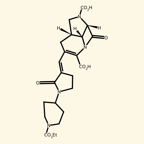 CCOC(=O)N1CCC(N2CC/C(=C\C3=C(C(=O)O)N4C(=O)[C@@H]5[C@H]4[C@H](C3)CN5C(=O)O)C2=O)CC1